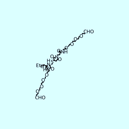 CCOCC(=O)N[C@@H](CSC1CC(=O)N(CCC(=O)NCCOCCOCCOCCOCCC=O)C1=O)C(=O)NCCOCCOCCOCCOCCC=O